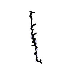 CC(C)=CCC/C(C)=C/CC/C(C)=C/C=C/C=C(C)/C=C/C=C(\C)C/C=C\C(C)C